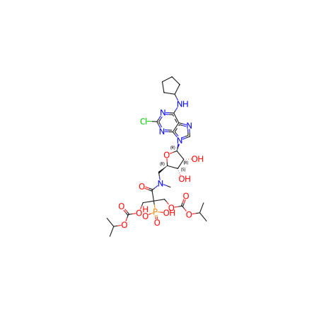 CC(C)OC(=O)OCC(COC(=O)OC(C)C)(C(=O)N(C)C[C@H]1O[C@@H](n2cnc3c(NC4CCCC4)nc(Cl)nc32)[C@H](O)[C@@H]1O)P(=O)(O)O